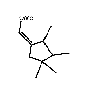 COC=C1CC(C)(C)C(C)C1C